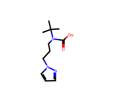 CC(C)(C)N(CCCn1cccn1)C(=O)O